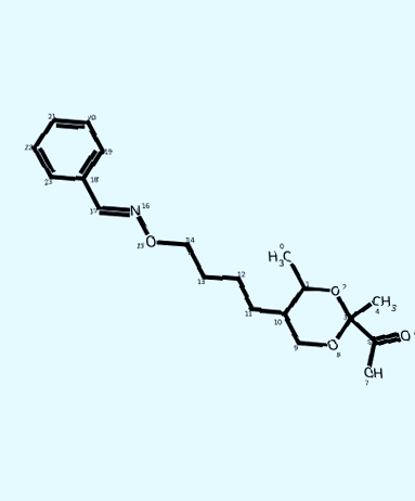 CC1OC(C)(C(=O)O)OCC1CCCCON=Cc1ccccc1